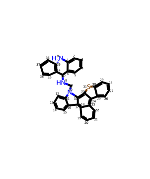 Nc1ccccc1C(NCn1c2ccccc2c2c3ccccc3c3c4ccccc4sc3c21)c1ccccc1